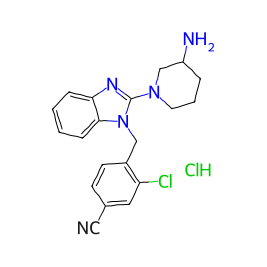 Cl.N#Cc1ccc(Cn2c(N3CCCC(N)C3)nc3ccccc32)c(Cl)c1